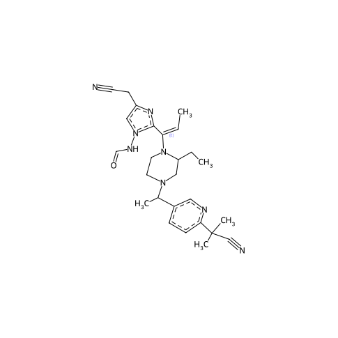 C/C=C(\c1nc(CC#N)cn1NC=O)N1CCN(C(C)c2ccc(C(C)(C)C#N)nc2)CC1CC